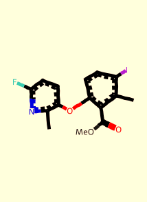 COC(=O)c1c(Oc2ccc(F)nc2C)ccc(I)c1C